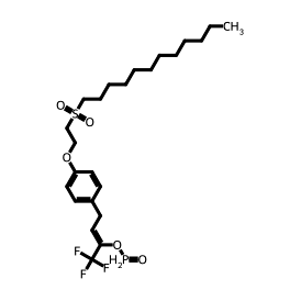 CCCCCCCCCCCCS(=O)(=O)CCOc1ccc(CC=C(O[PH2]=O)C(F)(F)F)cc1